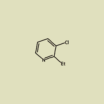 CCc1ncccc1Cl